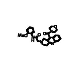 COc1ccccc1NC(=O)CN1CCc2nc3ccccc3c(C(=O)N3CCOCC3)c2C1